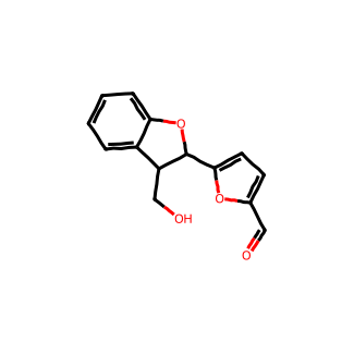 O=Cc1ccc(C2Oc3ccccc3C2CO)o1